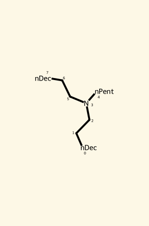 CCCCCCCCCCCCN(CCCCC)CCCCCCCCCCCC